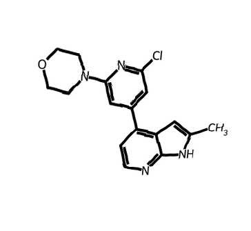 Cc1cc2c(-c3cc(Cl)nc(N4CCOCC4)c3)ccnc2[nH]1